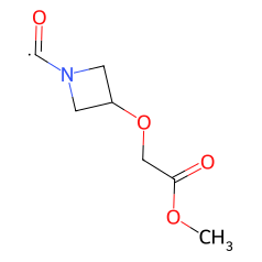 COC(=O)COC1CN([C]=O)C1